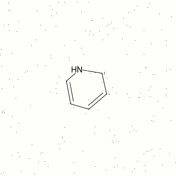 [C]1[C]=CC=CN1